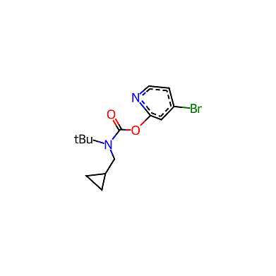 CC(C)(C)N(CC1CC1)C(=O)Oc1cc(Br)ccn1